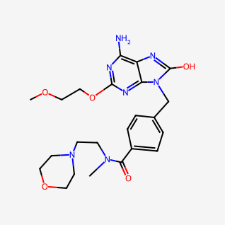 COCCOc1nc(N)c2nc(O)n(Cc3ccc(C(=O)N(C)CCN4CCOCC4)cc3)c2n1